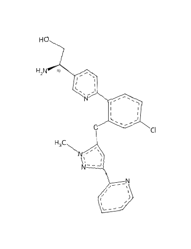 Cn1nc(-c2ccccn2)cc1Oc1cc(Cl)ccc1-c1ccc([C@@H](N)CO)cn1